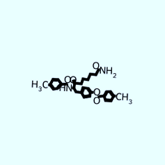 Cc1ccc(C(=O)NC(Cc2ccc(OC(=O)c3ccc(C)cc3)cc2)C(=O)CCCCCC(N)=O)cc1